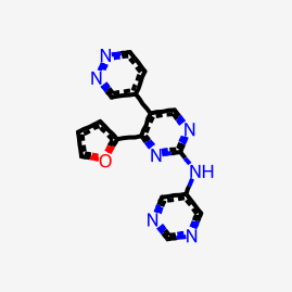 c1coc(-c2nc(Nc3cncnc3)ncc2-c2ccnnc2)c1